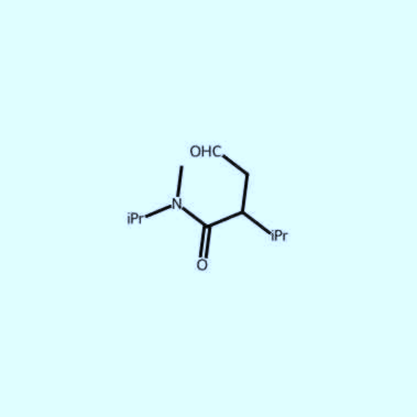 CC(C)C(CC=O)C(=O)N(C)C(C)C